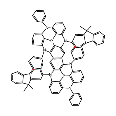 CC1(C)c2ccccc2-c2ccc(-n3c4cccc5c4p4c6c(cccc6n(-c6ccccc6)c6c7cc8c9c(c7cc3c64)n(-c3ccccc3)c3cccc4c3p9c3c(cccc3n8-c3ccc6c(c3)C(C)(C)c3ccccc3-6)n4-c3ccccc3)n5-c3ccccc3)cc21